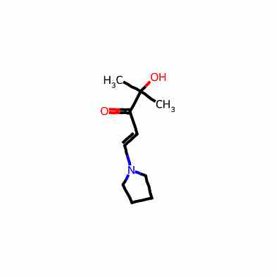 CC(C)(O)C(=O)C=CN1CCCC1